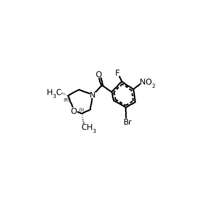 C[C@@H]1CN(C(=O)c2cc(Br)cc([N+](=O)[O-])c2F)C[C@H](C)O1